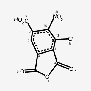 O=C1OC(=O)c2c1cc(C(=O)O)c([N+](=O)[O-])c2Cl